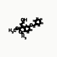 COC(=O)/C(=C/CO)c1cc(OCc2ccccc2)ccc1C